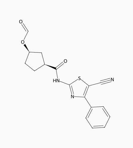 N#Cc1sc(NC(=O)[C@H]2CC[C@@H](OC=O)C2)nc1-c1ccccc1